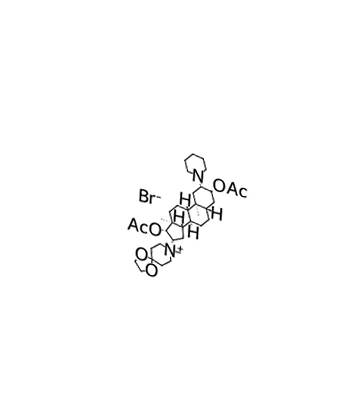 CC(=O)O[C@H]1C[C@@H]2CC[C@@H]3[C@H](CC[C@@]4(C)[C@H]3C[C@H]([N+]3(C)CCC5(CC3)OCCO5)[C@@H]4OC(C)=O)[C@@]2(C)C[C@@H]1N1CCCCC1.[Br-]